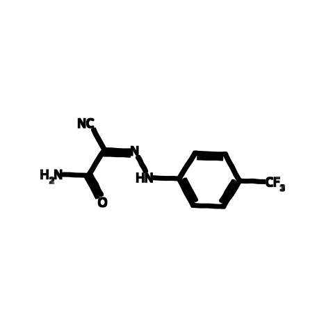 N#CC(=NNc1ccc(C(F)(F)F)cc1)C(N)=O